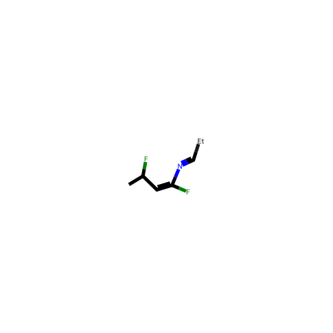 CC/C=N/C(F)=C\C(C)F